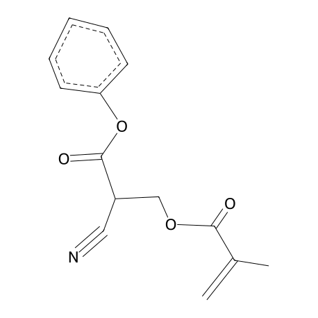 C=C(C)C(=O)OCC(C#N)C(=O)Oc1ccccc1